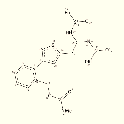 CNC(=O)OCc1ccccc1-c1csc(CC(N[S+]([O-])C(C)(C)C)N[S+]([O-])C(C)(C)C)c1